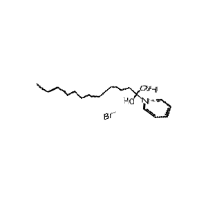 CCCCCCCCCCCC(O)(O)[n+]1ccccc1.[Br-]